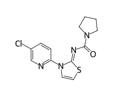 O=C(/N=c1\sccn1-c1ccc(Cl)cn1)N1CCCC1